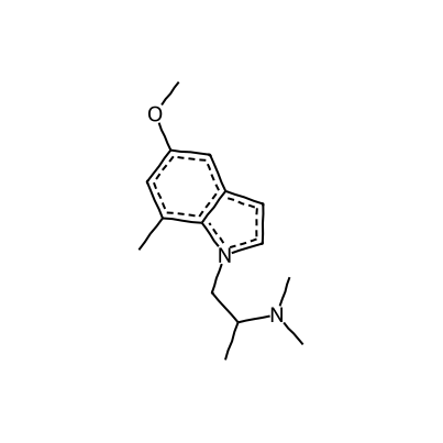 COc1cc(C)c2c(ccn2CC(C)N(C)C)c1